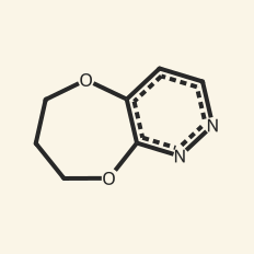 c1cc2c(nn1)OCCCO2